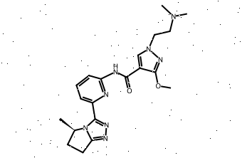 COc1nn(CCN(C)C)cc1C(=O)Nc1cccc(-c2nnc3n2[C@H](C)CC3)n1